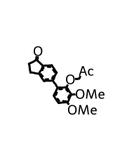 COc1ccc(-c2ccc3c(c2)CCC3=O)c(OCC(C)=O)c1OC